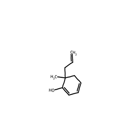 C=CCC1(C)CC=CC=C1O